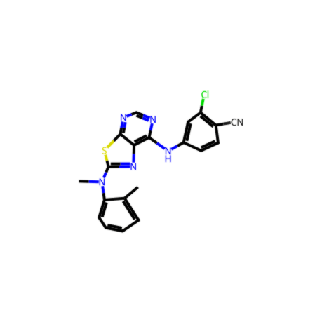 Cc1ccccc1N(C)c1nc2c(Nc3ccc(C#N)c(Cl)c3)ncnc2s1